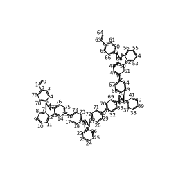 C=Cc1ccc(-n2c3ccccc3c3cc(-c4ccc(N(c5ccccc5)c5ccc(-c6ccc(N(c7ccccc7)c7ccc(-c8ccc9c(c8)c8ccccc8n9-c8ccc(C=C)cc8)cc7)cc6)cc5)cc4)ccc32)cc1